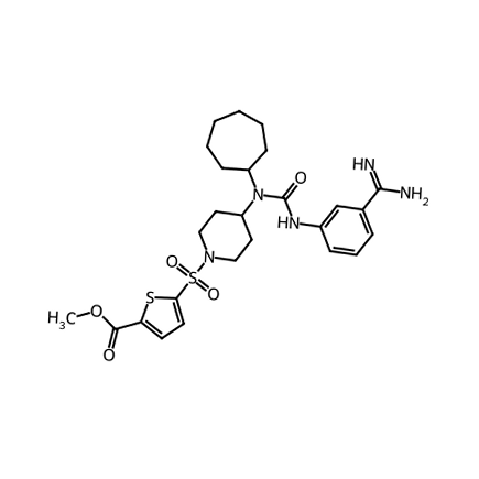 COC(=O)c1ccc(S(=O)(=O)N2CCC(N(C(=O)Nc3cccc(C(=N)N)c3)C3CCCCCC3)CC2)s1